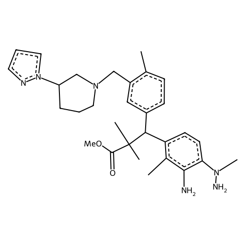 COC(=O)C(C)(C)C(c1ccc(C)c(CN2CCCC(n3cccn3)C2)c1)c1ccc(N(C)N)c(N)c1C